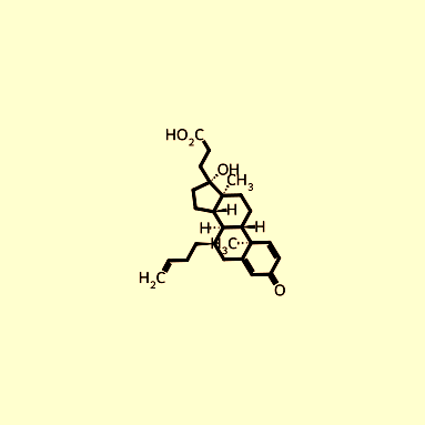 C=CCC[C@@H]1CC2=CC(=O)C=C[C@]2(C)[C@H]2CC[C@@]3(C)[C@@H](CC[C@@]3(O)CCC(=O)O)[C@H]12